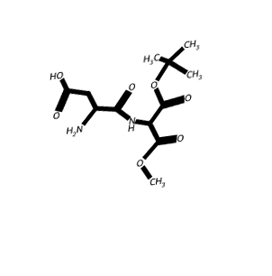 COC(=O)C(NC(=O)C(N)CC(=O)O)C(=O)OC(C)(C)C